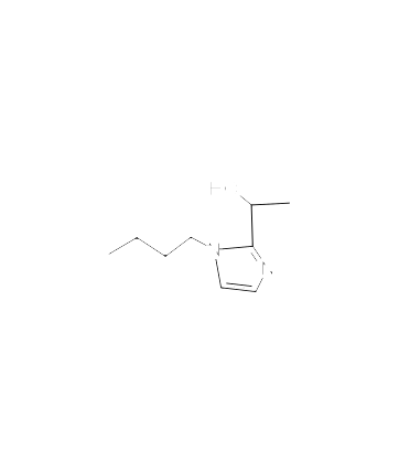 CCCCn1ccnc1C(C)O